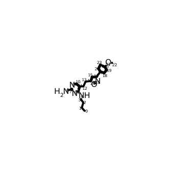 CCCCNc1nc(N)ncc1CCc1cc(-c2ccc(OC)cc2)no1